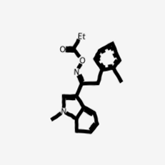 CCC(=O)O/N=C(\Cc1ccccc1C)C1=CN(C)C2CC=CC=C12